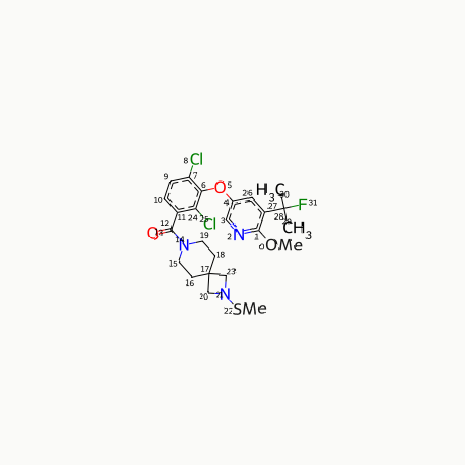 COc1ncc(Oc2c(Cl)ccc(C(=O)N3CCC4(CC3)CN(SC)C4)c2Cl)cc1C(C)(C)F